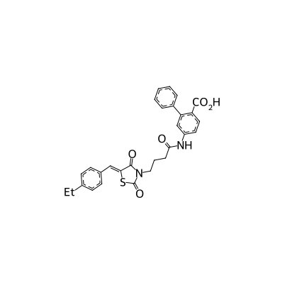 CCc1ccc(/C=C2\SC(=O)N(CCCC(=O)Nc3ccc(C(=O)O)c(-c4ccccc4)c3)C2=O)cc1